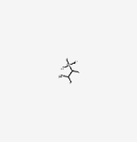 CC(C#N)C(C)[Si](C)(F)F